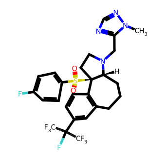 Cn1ncnc1CN1CC[C@@]2(S(=O)(=O)c3ccc(F)cc3)c3ccc(C(F)(C(F)(F)F)C(F)(F)F)cc3CCC[C@@H]12